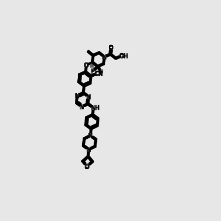 CC1CN(C(=O)CO)CC(F)(F)[C@H]1Oc1ccc(-c2ncnc(Nc3ccc(N4CCN(C5COC5)CC4)cc3)n2)cc1C#N